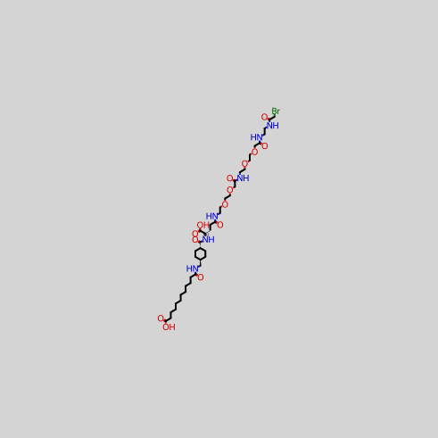 O=C(O)CCCCCCCCCCC(=O)NC[C@H]1CC[C@H](C(=O)N[C@@H](CCC(=O)NCCOCCOCC(=O)NCCOCCOCC(=O)NCCNC(=O)CBr)C(=O)O)CC1